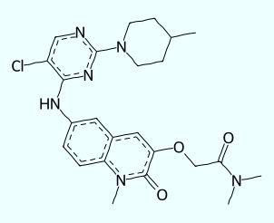 CC1CCN(c2ncc(Cl)c(Nc3ccc4c(c3)cc(OCC(=O)N(C)C)c(=O)n4C)n2)CC1